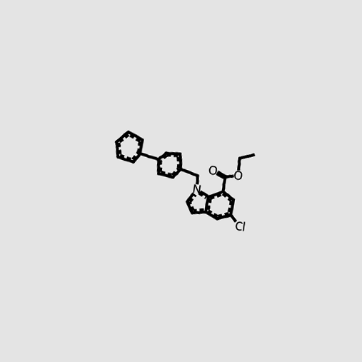 CCOC(=O)c1cc(Cl)cc2ccn(Cc3ccc(-c4ccccc4)cc3)c12